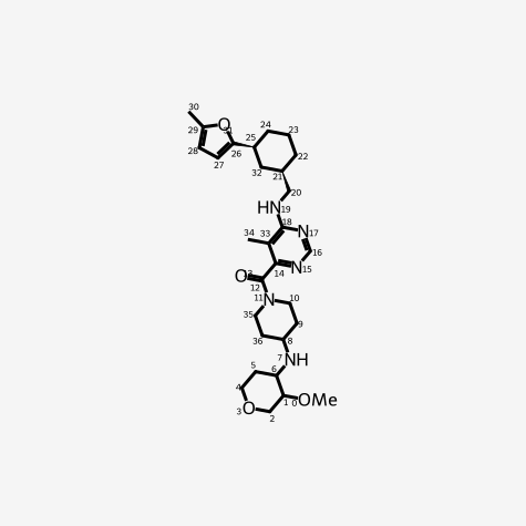 COC1COCCC1NC1CCN(C(=O)c2ncnc(NC[C@@H]3CCC[C@H](c4ccc(C)o4)C3)c2C)CC1